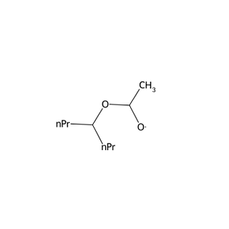 CCCC(CCC)OC(C)[O]